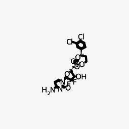 Nc1ccn([C@@H]2O[C@H](CO[P@]3(=O)OCC[C@H](c4ccc(Cl)c(Cl)c4)O3)[C@@H](O)C2(F)F)c(=O)n1